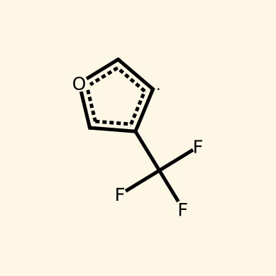 FC(F)(F)c1[c]coc1